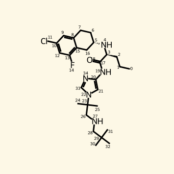 CCC[C@H](N[C@H]1CCc2cc(Cl)cc(F)c2C1)C(=O)Nc1cn(C(C)(C)CNCC(C)(C)C)cn1